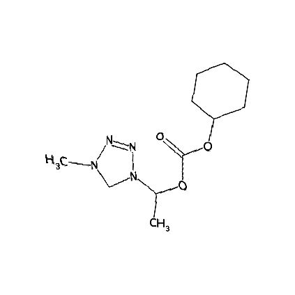 CC(OC(=O)OC1CCCCC1)N1CN(C)N=N1